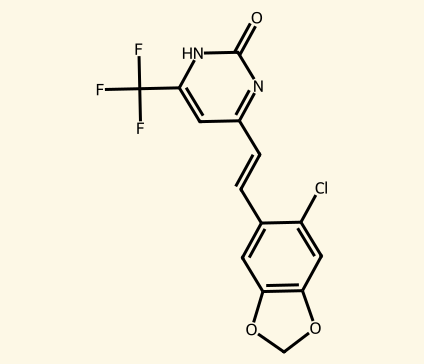 O=c1nc(C=Cc2cc3c(cc2Cl)OCO3)cc(C(F)(F)F)[nH]1